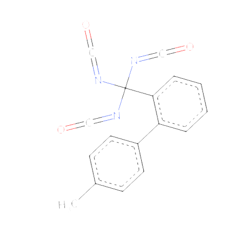 Cc1ccc(-c2ccccc2C(N=C=O)(N=C=O)N=C=O)cc1